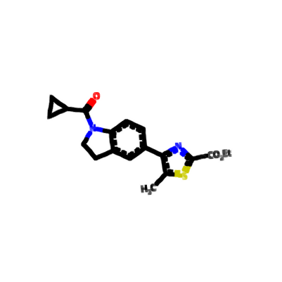 CCOC(=O)c1nc(-c2ccc3c(c2)CCN3C(=O)C2CC2)c(C)s1